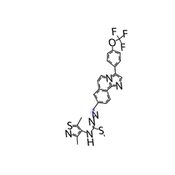 CSC(=N/N=C/c1ccc2c(ccn3c(-c4ccc(OC(F)(F)F)cc4)cnc23)c1)Nc1c(C)nsc1C